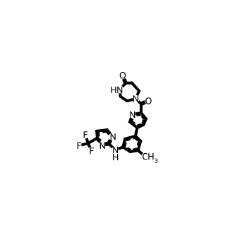 Cc1cc(Nc2nccc(C(F)(F)F)n2)cc(-c2ccc(C(=O)N3CCNC(=O)CC3)nc2)c1